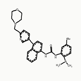 CN(C)c1ccc(C(C)(C)C)cc1NC(=O)Nc1ccc(-c2ccc(CN3CCOCC3)nc2)c2ccccc12